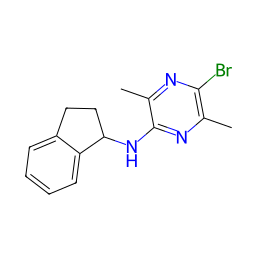 Cc1nc(NC2CCc3ccccc32)c(C)nc1Br